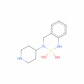 OS1(O)Nc2ccccc2CN1C1CCNCC1